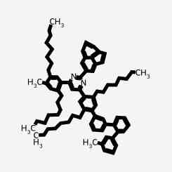 CCCCCCCCc1cc(-c2cc(-c3cc(CCCCCCCC)c(-c4cccc(-c5ccccc5-c5cccc(C)c5)c4)cc3CCCCCCCC)nc(-c3cc4c5c(cccc5c3)C=C4)n2)c(CCCCCCCC)cc1C